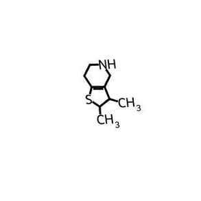 CC1SC2=C(CNCC2)C1C